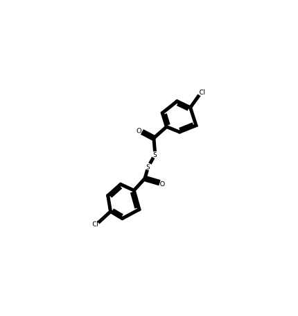 O=C(SSC(=O)c1ccc(Cl)cc1)c1ccc(Cl)cc1